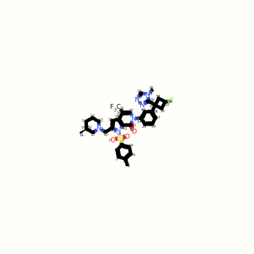 Cc1ccc(S(=O)(=O)n2c(CN3CCC[C@H](C)C3)cc3c(C(F)(F)F)cn(-c4cccc(C5(c6nncn6C)CC(F)C5)c4)c(=O)c32)cc1